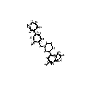 Cc1cc(C2CCCN(Cc3ccc(-c4cccnc4)cc3F)C2)n2ncnc2n1